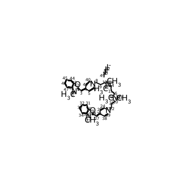 C[n+]1c(C=C2C=CN(CCC[N+](C)(C)CCC[N+](C)(C)CCCN3C=CC(=Cc4oc5ccccc5[n+]4C)C=C3)C=C2)oc2ccccc21.[I-].[I-].[I-].[I-]